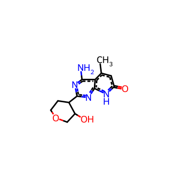 Cc1cc(=O)[nH]c2nc(C3CCOCC3O)nc(N)c12